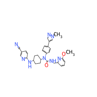 COc1cccc(CNC(=O)N(c2ccc(-c3cnn(C)c3)cc2)C2CCC(Nc3ccc(C#N)cn3)CC2)n1